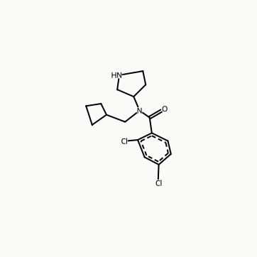 O=C(c1ccc(Cl)cc1Cl)N(CC1CCC1)C1CCNC1